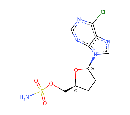 NS(=O)(=O)OC[C@@H]1CC[C@H](n2cnc3c(Cl)ncnc32)O1